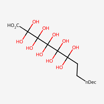 CCCCCCCCCCCCC(O)(O)C(O)(O)C(O)(O)C(O)(O)C(O)(O)C(=O)O